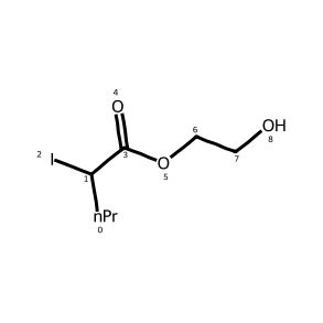 CCCC(I)C(=O)OCCO